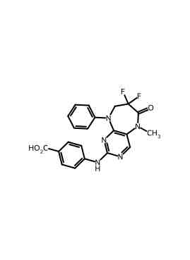 CN1C(=O)C(F)(F)CN(c2ccccc2)c2nc(Nc3ccc(C(=O)O)cc3)ncc21